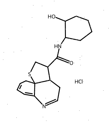 Cl.O=C(NC1CCCCC1O)C1CSC23CC=CC=C2N=CCC13